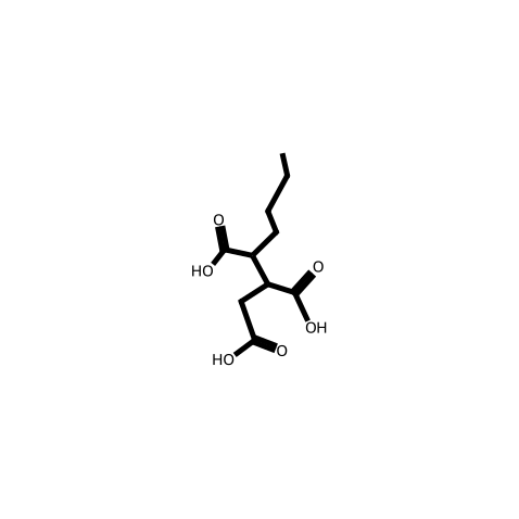 CCCCC(C(=O)O)C(CC(=O)O)C(=O)O